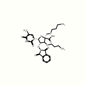 CCCCOC[C@@]1(C(=O)O)O[C@@H](n2cc(C)c(=O)[nH]c2=O)[C@@H](ON2C(=O)c3ccccc3C2=O)C1OCCCC